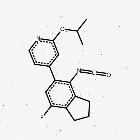 CC(C)Oc1cc(-c2cc(F)c3c(c2N=C=O)CCC3)ccn1